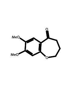 COc1cc2c(cc1OC)C(=O)CCCO2